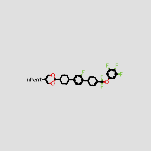 CCCCCC1COC(C2CCC(c3ccc(C4CC=C(C(F)(F)Oc5cc(F)c(F)c(F)c5)CC4)c(F)c3)CC2)OC1